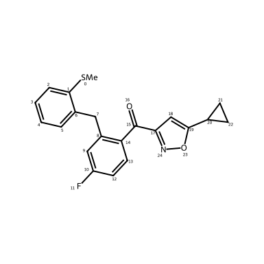 CSc1ccccc1Cc1cc(F)ccc1C(=O)c1cc(C2CC2)on1